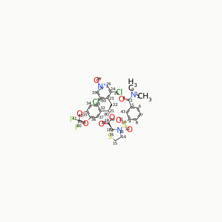 CN(C)C(=O)c1cccc(S(=O)(=O)N2CCS[C@H]2C(=O)O[C@H](Cc2c(Cl)c[n+]([O-])cc2Cl)c2ccc3c(c2)OC(F)(F)O3)c1